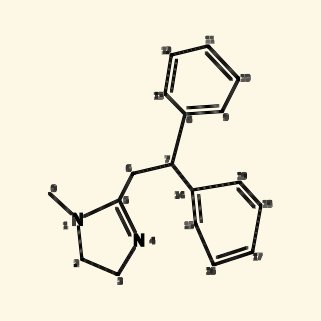 CN1CCN=C1CC(c1ccccc1)c1ccccc1